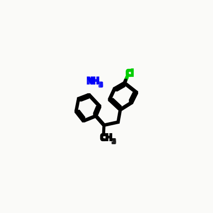 CC(Cc1ccc(Cl)cc1)c1ccccc1.N